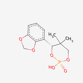 CC1(C)COP(=O)(O)O[C@@H]1c1cccc2c1OCO2